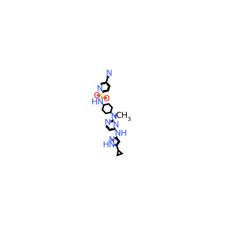 CN(c1nccc(Nc2cc(C3CC3)[nH]n2)n1)C1CCC(NS(=O)(=O)c2ccc(C#N)cn2)CC1